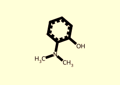 CN(C)c1[c]cccc1O